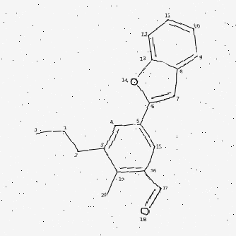 CCCc1cc(-c2cc3ccccc3o2)cc(C=O)c1C